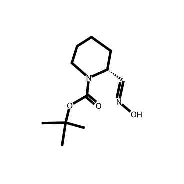 CC(C)(C)OC(=O)N1CCCC[C@@H]1/C=N/O